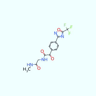 CNC(=O)CNC(=O)C(=O)c1ccc(-c2noc(C(F)(F)F)n2)cc1